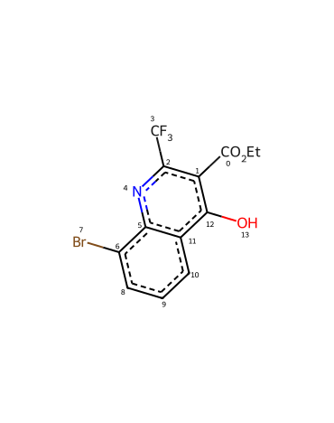 CCOC(=O)c1c(C(F)(F)F)nc2c(Br)cccc2c1O